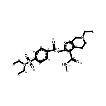 CCN1CCc2c(sc(NC(=O)c3ccc(S(=O)(=O)N(CC)CC)cc3)c2C(=O)NC)C1